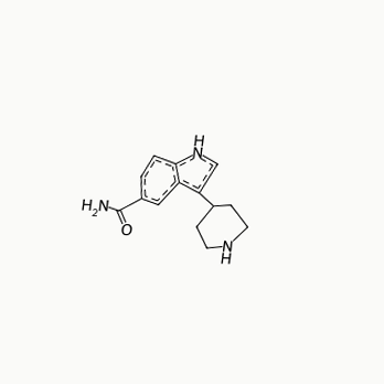 NC(=O)c1ccc2[nH]cc(C3CCNCC3)c2c1